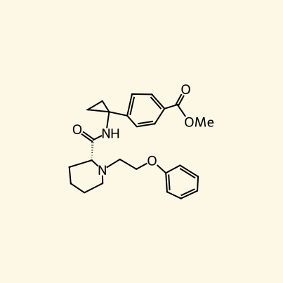 COC(=O)c1ccc(C2(NC(=O)[C@H]3CCCCN3CCOc3ccccc3)CC2)cc1